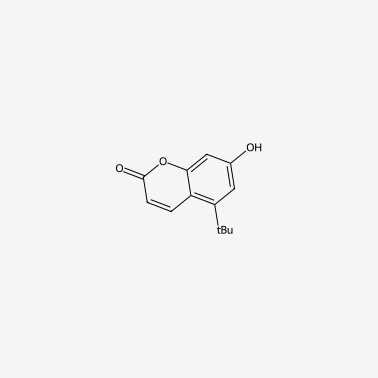 CC(C)(C)c1cc(O)cc2oc(=O)ccc12